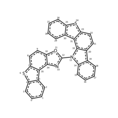 c1ccc2c(c1)sc1ccc3oc(-n4c5ccccc5c5ccc6sc7ccccc7c6c54)nc3c12